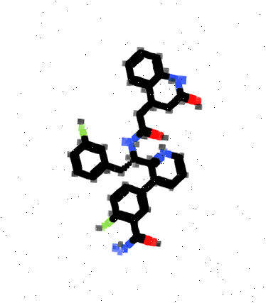 NC(=O)c1cc(-c2cccnc2[C@H](Cc2cccc(F)c2)NC(=O)CC2CC(=O)Nc3ccccc32)ccc1F